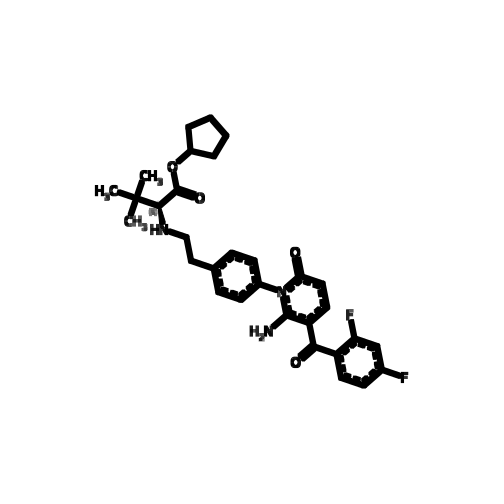 CC(C)(C)[C@H](NCCc1ccc(-n2c(N)c(C(=O)c3ccc(F)cc3F)ccc2=O)cc1)C(=O)OC1CCCC1